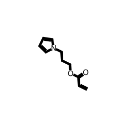 C=CC(=O)OCCCn1cccc1